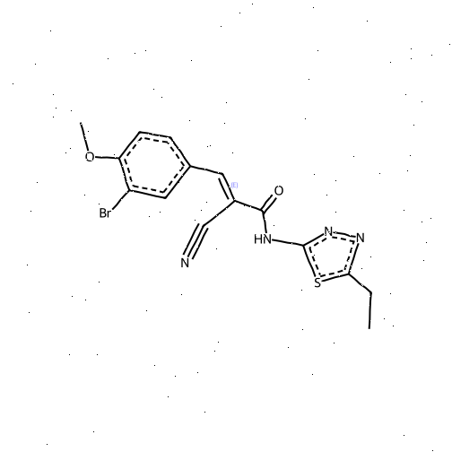 CCc1nnc(NC(=O)/C(C#N)=C/c2ccc(OC)c(Br)c2)s1